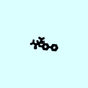 CC(C)NC(C)(Cc1ccc(-c2ccccc2)cc1)C(=O)C(C)C